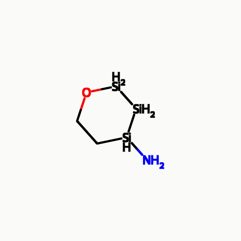 N[SiH]1CCO[SiH2][SiH2]1